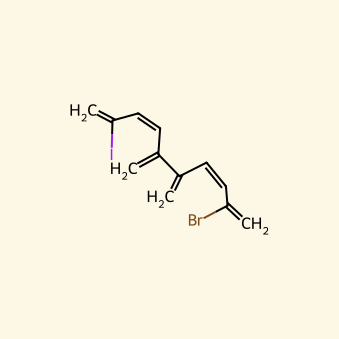 C=C(Br)/C=C\C(=C)C(=C)/C=C\C(=C)I